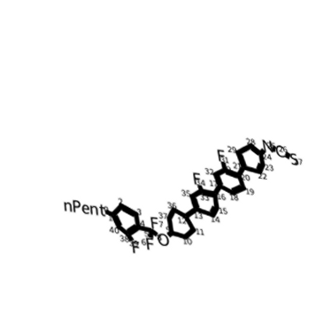 CCCCCc1ccc(C(F)(F)OC2CCC(c3ccc(-c4ccc(-c5ccc(N=C=S)cc5)c(F)c4)c(F)c3)CC2)c(F)c1